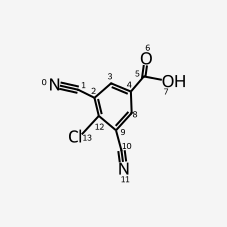 N#Cc1cc(C(=O)O)cc(C#N)c1Cl